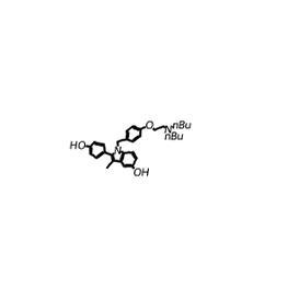 CCCCN(CCCC)CCOc1ccc(Cn2c(-c3ccc(O)cc3)c(C)c3cc(O)ccc32)cc1